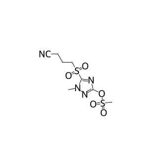 Cn1nc(OS(C)(=O)=O)nc1S(=O)(=O)CCCC#N